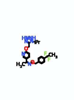 CC(=NOCc1ccc(C(C)(F)F)cc1)c1ccc(OCC2=NNNN2C(C)C)nc1